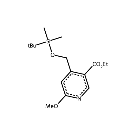 CCOC(=O)c1cnc(OC)cc1CO[Si](C)(C)C(C)(C)C